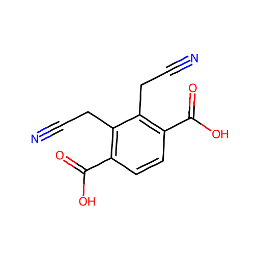 N#CCc1c(C(=O)O)ccc(C(=O)O)c1CC#N